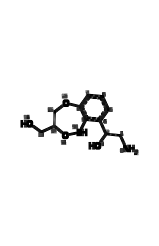 NCC(O)c1cccc2c1BOC(CO)CO2